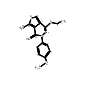 CCSc1nn(-c2ccc(OC)cc2)c(=O)c2c(N)scc12